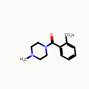 CN1CCN(C(=O)c2ccccc2C(=O)O)CC1